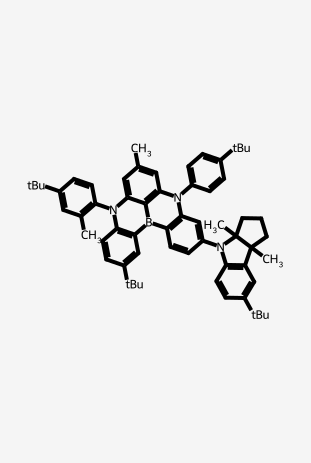 Cc1cc2c3c(c1)N(c1ccc(C(C)(C)C)cc1C)c1ccc(C(C)(C)C)cc1B3c1ccc(N3c4ccc(C(C)(C)C)cc4C4(C)CCCC34C)cc1N2c1ccc(C(C)(C)C)cc1